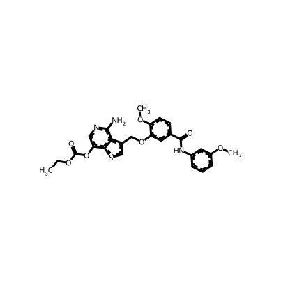 CCOC(=O)Oc1cnc(N)c2c(COc3cc(C(=O)Nc4cccc(OC)c4)ccc3OC)csc12